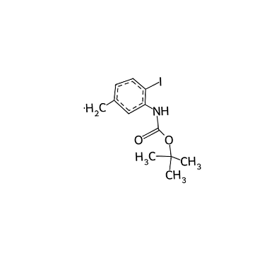 [CH2]c1ccc(I)c(NC(=O)OC(C)(C)C)c1